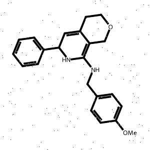 COc1ccc(CNC2=C3COCCC3=CC(c3ccccc3)N2)cc1